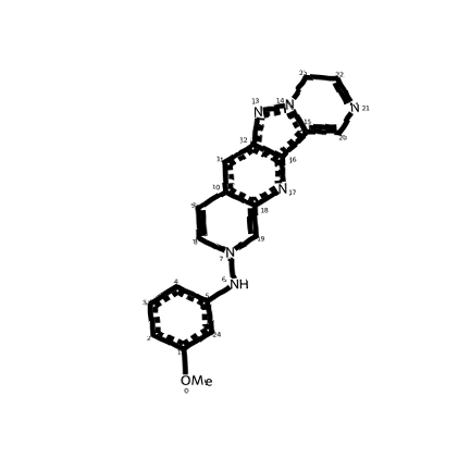 COc1cccc(NN2C=Cc3cc4nn5c(c4nc3=C2)=CN=CC5)c1